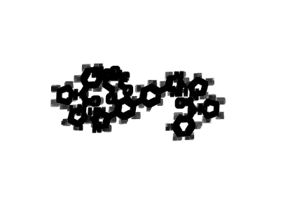 COCCOc1c(-c2ccc(-c3cnc([C@@H]4CCCN4C(=O)[C@@H](c4ccccc4)N4CCCC4)[nH]3)cc2)ccc(-c2cnc([C@@H]3CCCN3C(=O)[C@@H](c3ccccc3)N3CCCC3)[nH]2)c1OCCOC